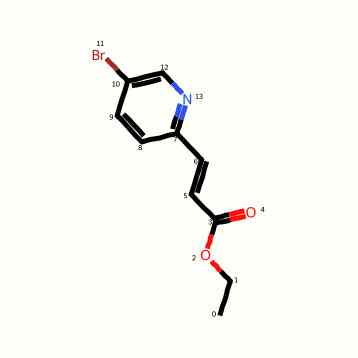 CCOC(=O)C=Cc1ccc(Br)cn1